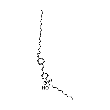 CCCCCCCCCCCCCCCCSc1ccc(C=Cc2ccc(S(=O)(=O)C(O)CCCCCCCCCC)cc2)cc1